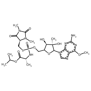 COc1nc(N)nc2c1ncn2C1OC(COP(=O)(N[C@H](C)C(=O)OC(C)C)SC[C@H]2C(=O)N(C)C(=O)N2C)[C@@H](O)[C@@]1(C)O